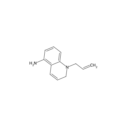 C=CCN1CC=Cc2c(N)cccc21